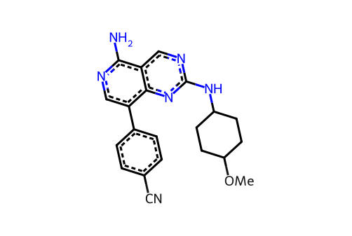 COC1CCC(Nc2ncc3c(N)ncc(-c4ccc(C#N)cc4)c3n2)CC1